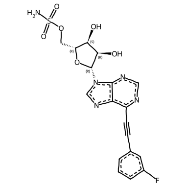 NS(=O)(=O)OC[C@H]1O[C@@H](n2cnc3c(C#Cc4cccc(F)c4)ncnc32)[C@H](O)[C@@H]1O